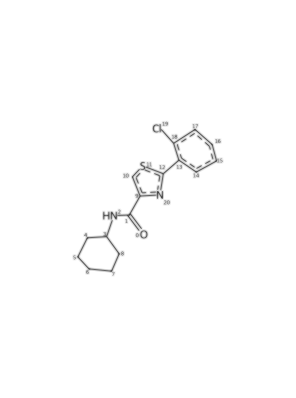 O=C(NC1CCCCC1)c1csc(-c2ccccc2Cl)n1